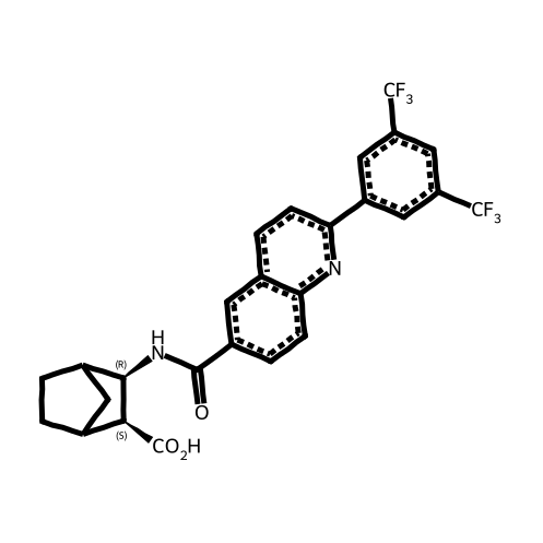 O=C(N[C@@H]1C2CCC(C2)[C@@H]1C(=O)O)c1ccc2nc(-c3cc(C(F)(F)F)cc(C(F)(F)F)c3)ccc2c1